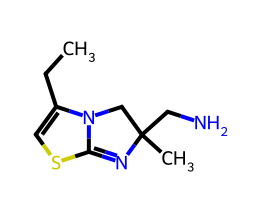 CCC1=CSC2=NC(C)(CN)CN12